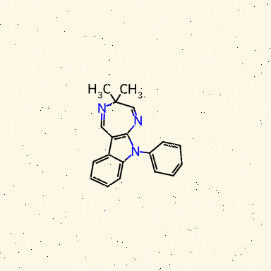 CC1(C)C=Nc2c(c3ccccc3n2-c2ccccc2)C=N1